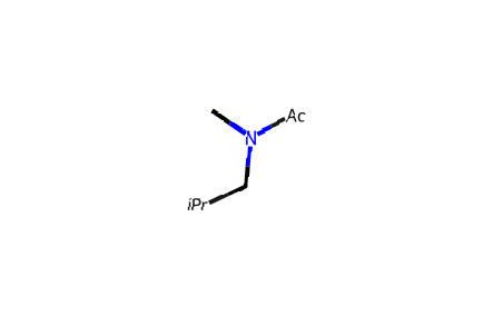 CC(=O)N(C)CC(C)C